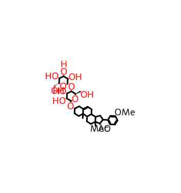 COc1ccc(OC)c(C2CC3C4CC=C5CC(OC6O[C@H](CO)[C@@H](O[C@@H]7O[C@H](CO)[C@H](O)[C@H](O)[C@H]7O)[C@H](O)[C@H]6O)CCC5(C)C4CCC3(C)C2C(C)=O)c1